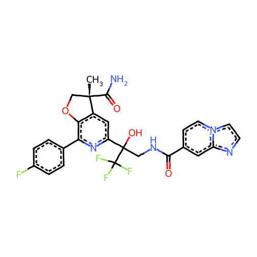 C[C@]1(C(N)=O)COc2c1cc(C(O)(CNC(=O)c1ccn3ccnc3c1)C(F)(F)F)nc2-c1ccc(F)cc1